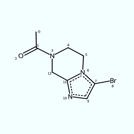 CC(=O)N1CCn2c(Br)cnc2C1